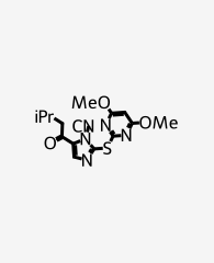 COc1cc(OC)nc(Sc2ncc(C(=O)CC(C)C)n2C#N)n1